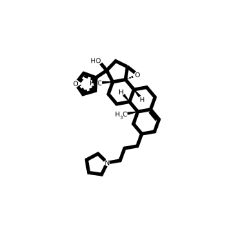 C[C@]12CC(CCCN3CCCC3)CC=C1CC[C@@H]1[C@H]2CC[C@]2(C)C(O)(c3ccoc3)CC3O[C@]312